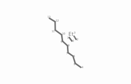 CC.CCC.CCCCCCCCCC